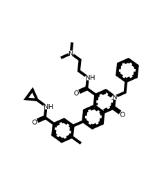 Cc1ccc(C(=O)NC2CC2)cc1-c1ccc2c(=O)n(Cc3ccccc3)cc(C(=O)NCCN(C)C)c2c1